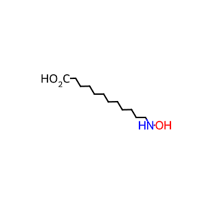 O=C(O)CCCCCCCCCCCNO